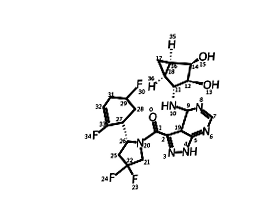 O=C(C1=NNC2=NC=NC(N[C@H]3[C@H](O)[C@H](O)[C@@H]4C[C@@H]43)C21)N1CC(F)(F)C[C@@H]1C1CC(F)CC=C1F